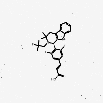 CC(C)(F)CN1[C@H](c2c(F)cc(/C=C/C(=O)O)cc2F)c2[nH]c3ccccc3c2CC1(C)C